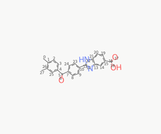 Cc1ccc(C(=O)c2ccc(-c3nc4cc(C(=O)O)ccc4[nH]3)cc2)cc1C